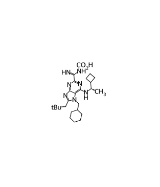 C[C@@H](Nc1nc(C(=N)NC(=O)O)nc2nc(CC(C)(C)C)n(CC3CCCCC3)c12)C1CCC1